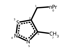 [CH2]CCCc1snnc1C